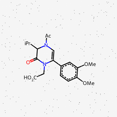 COc1ccc(C2=CN(C(C)=O)C(C(C)C)C(=O)N2CC(=O)O)cc1OC